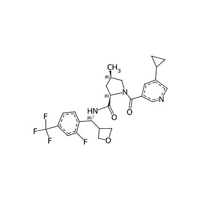 C[C@@H]1C[C@H](C(=O)N[C@@H](c2ccc(C(F)(F)F)cc2F)C2COC2)N(C(=O)c2cncc(C3CC3)c2)C1